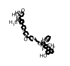 C#Cc1c(F)ccc2cc(O)cc(-c3ncc4c(N5CC6CCC(C5)N6)nc(OCCCN5CCC(C(=O)N6CCC(N7CCC(c8ccc9c(C%10CCC(=O)NC%10O)nn(C)c9c8)CC7)CC6)CC5)nc4c3F)c12